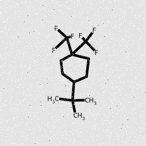 CC(C)(C)C1CCC(C(F)(F)F)(C(F)(F)F)CC1